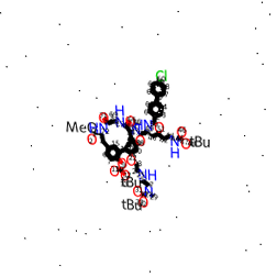 COC(=O)[C@@H]1Cc2ccc(OC(=O)OC(C)(C)C)c(c2)-c2cc(ccc2OCCNCCN(C)C(=O)OC(C)(C)C)[C@H](N(C)C(=O)[C@H](CCCCNC(=O)OC(C)(C)C)NC(=O)c2ccc(-c3ccc(Cl)cc3)cc2)C(=O)N[C@@H](C)C(=O)N1